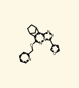 c1ccc(COc2nn3c(-c4ccoc4)nnc3c3c2C2CCC3C2)nc1